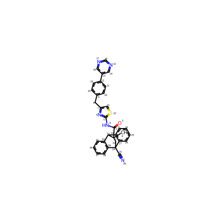 CC1(C(=O)Nc2nc(Cc3ccc(-c4cncnc4)cc3)cs2)CC2(C#N)c3ccccc3C1c1ccccc12